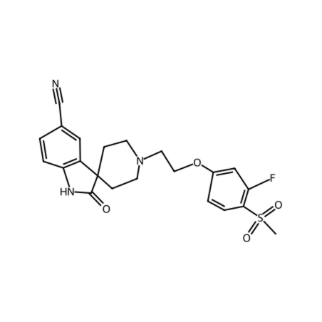 CS(=O)(=O)c1ccc(OCCN2CCC3(CC2)C(=O)Nc2ccc(C#N)cc23)cc1F